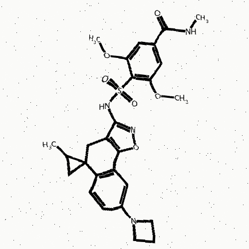 CNC(=O)c1cc(OC)c(S(=O)(=O)Nc2noc3c2CC2(CC2C)c2ccc(N4CCC4)cc2-3)c(OC)c1